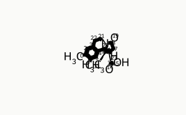 Cc1cc2c(cc1C)C13C[C@H](C)[C@@H](C(=O)O)[C@@H]1CC(=O)N3CC2